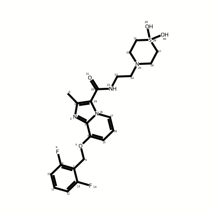 Cc1nc2c(OCc3c(F)cccc3F)cccn2c1C(=O)NCCN1CCS(O)(O)CC1